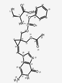 COC(=O)[C@H](CC(C)C)N[P@](=O)(OCC1(COC(=O)C(C)C)C/C1=C/n1cnc2c(=O)[nH]c(N)nc21)Oc1ccccc1